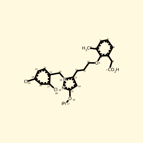 Cc1cccc(CC(=O)O)c1OCCCc1cc(OC(C)C)nn1Cc1ccc(Cl)cc1Cl